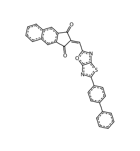 O=C1C(=Cc2nc3sc(-c4ccc(-c5ccccc5)cc4)nc3o2)C(=O)c2cc3ccccc3cc21